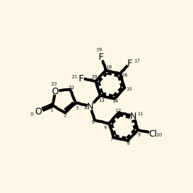 O=C1C=C(N(Cc2ccc(Cl)nc2)c2ccc(F)c(F)c2F)CO1